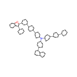 c1ccc(-c2ccc(-c3ccc(N(c4ccc(-c5ccc(-c6cccc(-c7oc8ccccc8c7-c7ccccc7)c6)cc5)cc4)c4ccc(-c5cccc6ccccc56)cc4)cc3)cc2)cc1